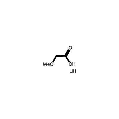 COCC(=O)O.[LiH]